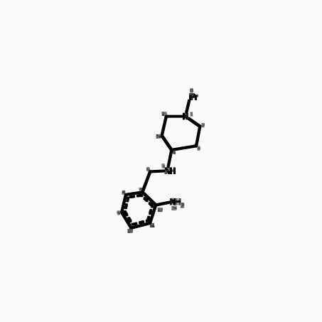 CC(C)N1CCC(NCc2ccccc2N)CC1